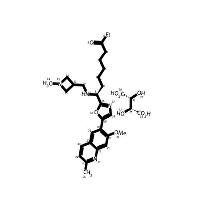 CCC(=O)CCCCC[C@H](NCC1CN(C)C1)c1ncc(-c2cc3ccc(C)nc3cc2OC)o1.O=C(O)[C@H](O)[C@@H](O)C(=O)O